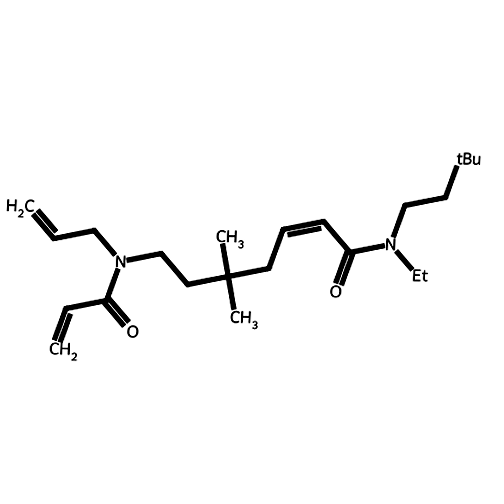 C=CCN(CCC(C)(C)C/C=C\C(=O)N(CC)CCC(C)(C)C)C(=O)C=C